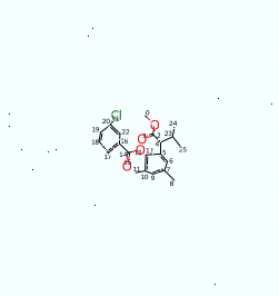 COC(=O)C(c1cc(C)cc(C)c1OC(=O)c1cccc(Cl)c1)C(C)C